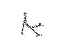 CCCCCCCCCCCCC(CCOC(=O)CCCCC(CCCCCCCCC(=O)O)CCCCCCCCC(=O)O)OC(=O)OCCCN1CCCCC1